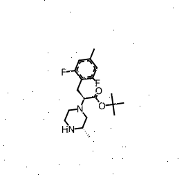 Cc1cc(F)c(C[C@@H](C(=O)OC(C)(C)C)N2CCN[C@@H](C)C2)c(F)c1